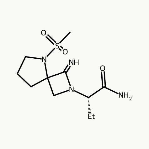 CC[C@@H](C(N)=O)N1CC2(CCCN2S(C)(=O)=O)C1=N